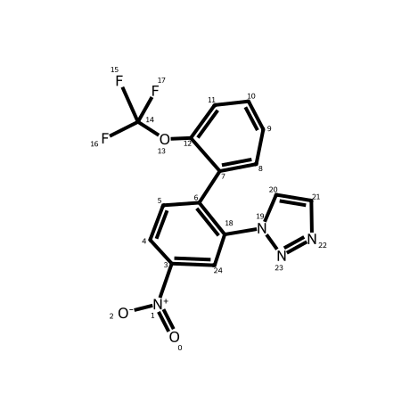 O=[N+]([O-])c1ccc(-c2ccccc2OC(F)(F)F)c(-n2ccnn2)c1